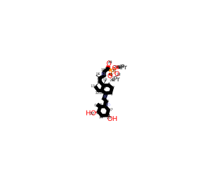 C=C1/C(=C\C=C2/CCC[C@@]3(C)C2CC[C@@H]3[C@H](C)/C=C/C(=O)P(=O)(OC(C)C)OC(C)C)C[C@@H](O)C[C@@H]1O